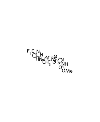 COCC(=O)Nc1ncc(S(=O)(=O)N2CCN(C[C@H](C)Nc3ncnc4c(C(F)(F)F)cccc34)CC2)s1